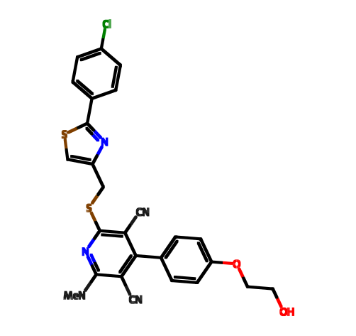 CNc1nc(SCc2csc(-c3ccc(Cl)cc3)n2)c(C#N)c(-c2ccc(OCCO)cc2)c1C#N